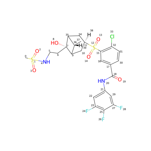 CS(=O)(=O)NCC[C@]1(O)C2C[C@H](S(=O)(=O)c3cc(C(=O)Nc4cc(F)c(F)c(F)c4)ccc3Cl)CC1[C@@H]2C